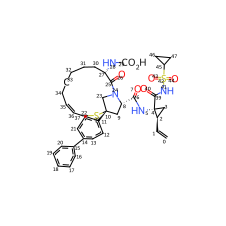 C=C[C@@H]1C[C@]1(NC(=O)[C@@H]1C[C@@]2(c3ccc(-c4ccccc4)cc3)CN1C(=O)[C@@H](NC(=O)O)CCCCCC=CCS2)C(=O)NS(=O)(=O)C1CC1